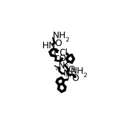 C[C@@H]1CCN([C@H](Cc2cccc3ccccc23)C(N)=O)C(=O)[C@H](c2cccc(Cl)c2)N1C(=O)Cc1ccc(NC(=O)CN)cc1